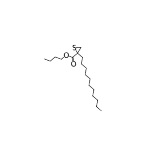 CCCCCCCCCCCC1(C(=O)OCCCC)CS1